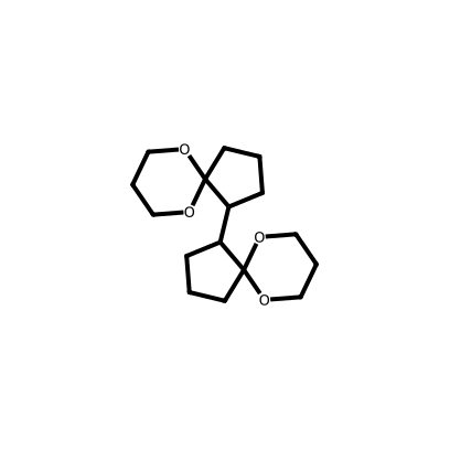 C1COC2(CCCC2C2CCCC23OCCCO3)OC1